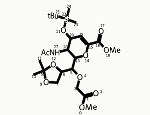 COC(=O)COC(C1COC(C)(C)O1)C1OC(C(=O)OC)=CC(O[Si](C)(C)C(C)(C)C)C1NC(C)=O